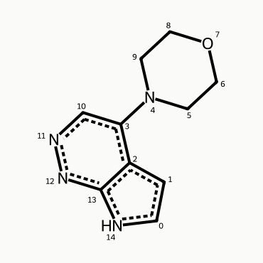 c1cc2c(N3CCOCC3)cnnc2[nH]1